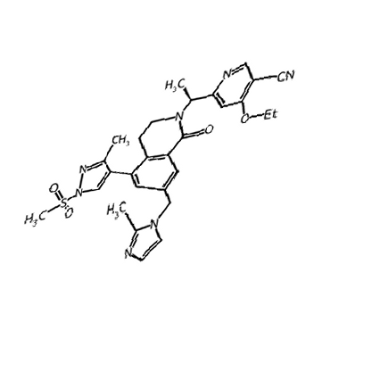 CCOc1cc([C@H](C)N2CCc3c(cc(Cn4ccnc4C)cc3-c3cn(S(C)(=O)=O)nc3C)C2=O)ncc1C#N